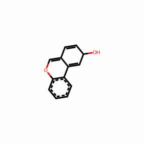 OC1C=CC2=COc3ccccc3C2=C1